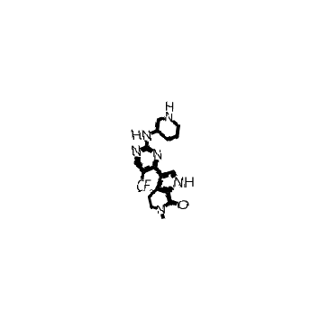 CN1CCc2c(-c3nc(NC4CCCNC4)ncc3C(F)(F)F)c[nH]c2C1=O